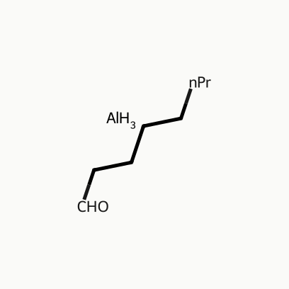 CCCCCCCC=O.[AlH3]